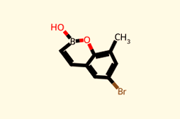 Cc1cc(Br)cc2c1OB(O)C=C2